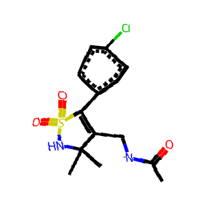 CC(=O)[N]CC1=C(c2ccc(Cl)cc2)S(=O)(=O)NC1(C)C